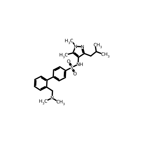 Cc1c(NS(=O)(=O)c2ccc(-c3ccccc3CN(C)C)cc2)c(CC(C)C)nn1C